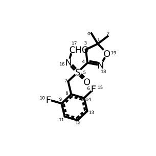 CC1(C)CC(S(=O)(Cc2c(F)cccc2F)=NC=O)=NO1